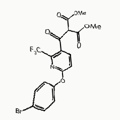 COC(=O)C(C(=O)OC)C(=O)c1ccc(Oc2ccc(Br)cc2)nc1C(F)(F)F